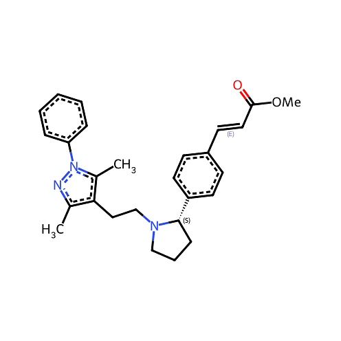 COC(=O)/C=C/c1ccc([C@@H]2CCCN2CCc2c(C)nn(-c3ccccc3)c2C)cc1